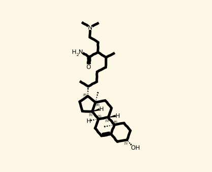 CC(CCCC(C)[C@H]1CC[C@H]2[C@@H]3CC=C4C[C@@H](O)CC[C@]4(C)[C@H]3CC[C@]12C)C(CCN(C)C)C(N)=O